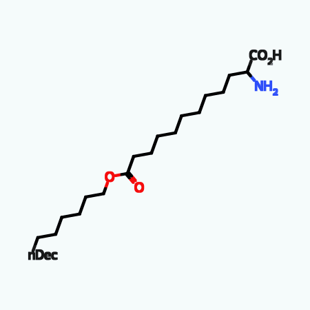 CCCCCCCCCCCCCCCCOC(=O)CCCCCCCCCC(N)C(=O)O